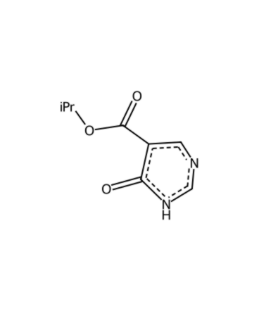 CC(C)OC(=O)c1cnc[nH]c1=O